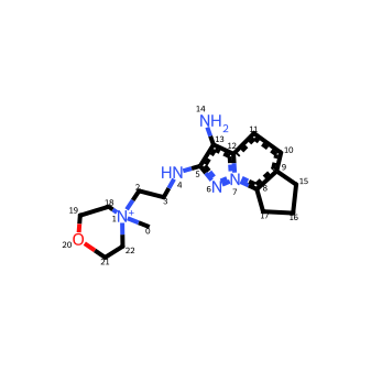 C[N+]1(CCNc2nn3c4c(ccc3c2N)CCC4)CCOCC1